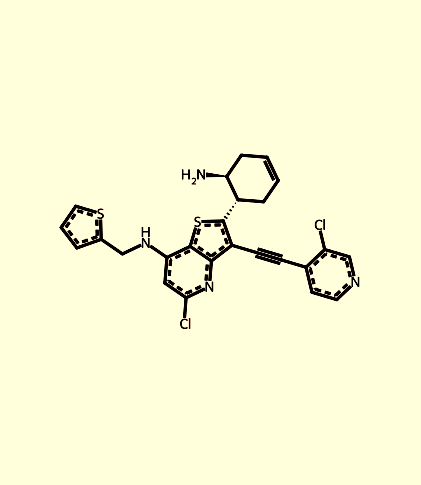 N[C@H]1CC=CC[C@@H]1c1sc2c(NCc3cccs3)cc(Cl)nc2c1C#Cc1ccncc1Cl